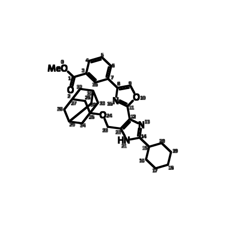 COC(=O)c1cccc(-c2coc(-c3nc(C4CCCCC4)[nH]c3COC34CC5CC(CC(C5)C3)C4)n2)c1